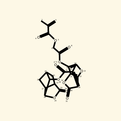 C=C(C)C(=O)OCC(=O)Oc1c2c3oc1c(C(=O)OC1C4CC5C(=O)OC1C5C4)c3C(=O)O2